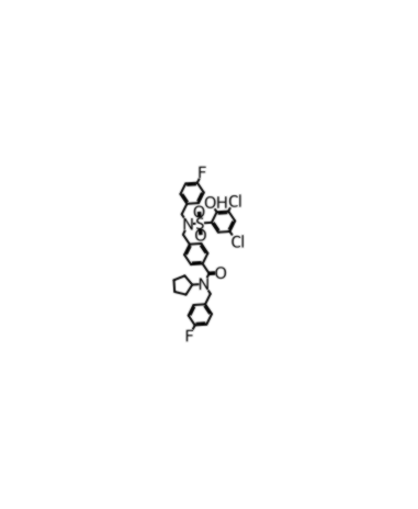 O=C(c1ccc(CN(Cc2ccc(F)cc2)S(=O)(=O)c2cc(Cl)cc(Cl)c2O)cc1)N(Cc1ccc(F)cc1)C1CCCC1